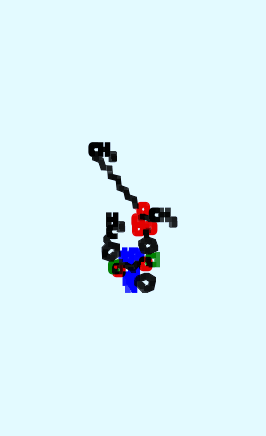 CCCCCCCCCCCCOC(=O)C(C)OC(=O)c1ccc(Cl)c(NC(=O)C(C(=O)Nc2cc(CC)ccc2Cl)n2nnc3ccccc32)c1